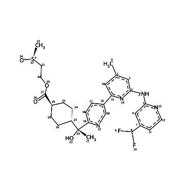 Cc1cc(Nc2cc(C(F)F)ccn2)nc(-c2ccc([C@](C)(O)[C@H]3CC[C@H](C(=O)OCC[S@+](C)[O-])CC3)nc2)c1